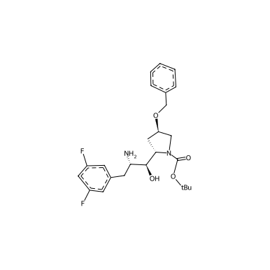 CC(C)(C)OC(=O)N1C[C@H](OCc2ccccc2)C[C@H]1[C@@H](O)[C@@H](N)Cc1cc(F)cc(F)c1